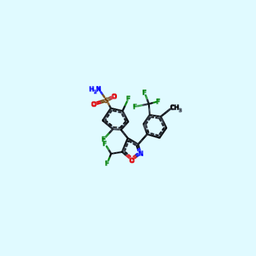 Cc1ccc(-c2noc(C(F)F)c2-c2cc(F)c(S(N)(=O)=O)cc2F)cc1C(F)(F)F